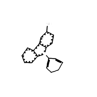 Nc1ccc2c(c1)c1ccccc1p2C1=CCCC=C1